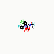 CN(C[C@](CCCO)(c1ccc(Cl)c(Cl)c1)N(Cc1cccc(F)c1)C(=O)O)C(=O)CC(F)(F)F